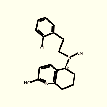 N#Cc1ccc2c(n1)CCC[C@@H]2N(C#N)CCc1ccccc1O